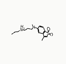 CCC[SiH2]CCCN(C)c1ccc2c(c1)C(C)=CS2(=O)=O